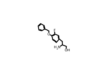 NC(CO)Cc1ccc(OCc2ccccc2)c(F)c1